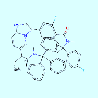 CNCC(C1=CN2C(c3ccc(C(=O)N(C)C4(c5ccc(F)cc5)CC4)c(F)c3)=CNC2C=C1)[C@H](C)N(C)C(c1ccccc1)(c1ccccc1)c1ccccc1